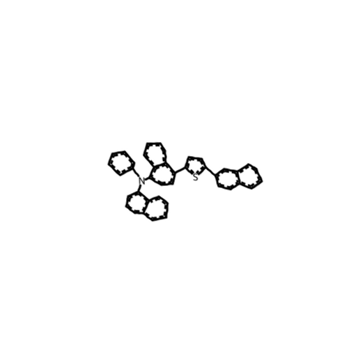 c1ccc(N(c2cccc3ccccc23)c2ccc(-c3ccc(-c4ccc5ccccc5c4)s3)c3ccccc23)cc1